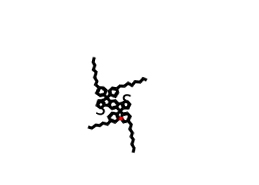 CCCCCCCCc1ccc(C2(c3ccc(CCCCCC)cc3)c3cc4c(cc3-c3sccc32)C(c2ccc(CCCCCCCC)cc2)(c2ccc(CCCCCCCC)cc2)c2ccsc2-4)cc1